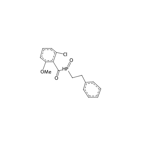 COc1cccc(Cl)c1C(=O)[PH](=O)CCc1ccccc1